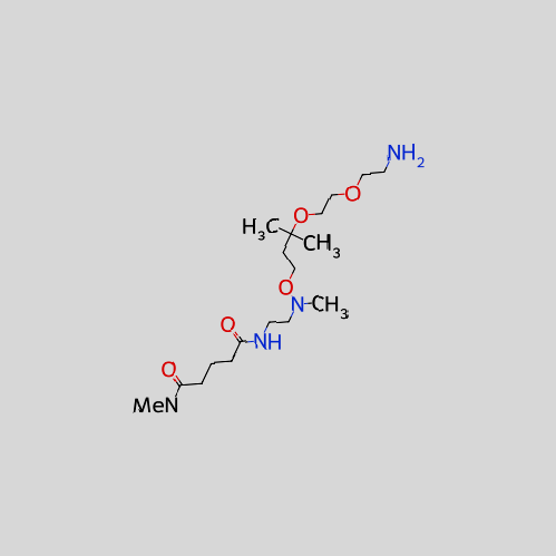 CNC(=O)CCCC(=O)NCCN(C)OCCC(C)(C)OCCOCCN